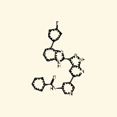 O=C(Nc1cncc(-c2cnc3[nH]nc(-c4nc5c(-c6ccc(F)cc6)cccc5[nH]4)c3c2)c1)c1ccccc1